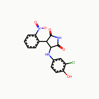 O=C1NC(=O)C(c2ccccc2[N+](=O)[O-])C1Nc1ccc(O)c(Cl)c1